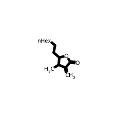 C=C1C(=O)OC(CCCCCCCC)C1C